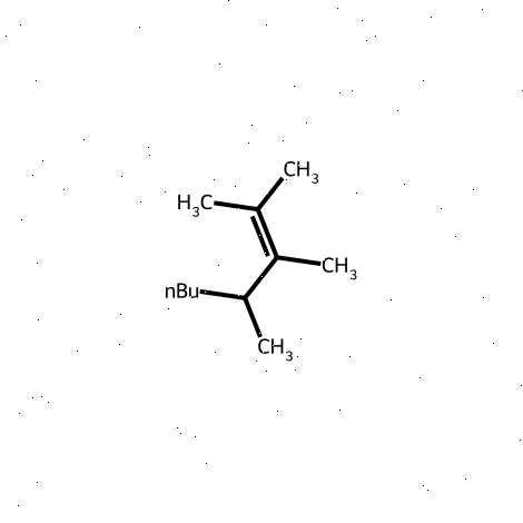 CCCCC(C)C(C)=C(C)C